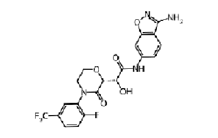 Nc1noc2cc(NC(=O)C(O)[C@H]3OCCN(c4cc(C(F)(F)F)ccc4F)C3=O)ccc12